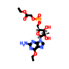 CCOC(=O)CO[PH](=O)OC[C@H]1O[C@@H](n2cnc3c(OCC)nc(N)nc32)[C@](C)(O)[C@@H]1O